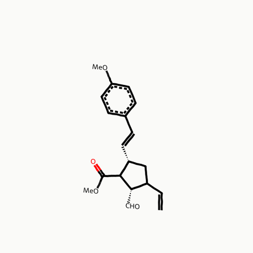 C=CC1C[C@@H](/C=C/c2ccc(OC)cc2)C(C(=O)OC)[C@H]1C=O